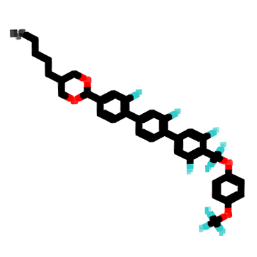 CCCCCC1COC(c2ccc(-c3ccc(-c4cc(F)c(C(F)(F)Oc5ccc(OC(F)(F)F)cc5)c(F)c4)c(F)c3)c(F)c2)OC1